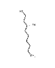 CCCCCC[C@@H](S)CCS